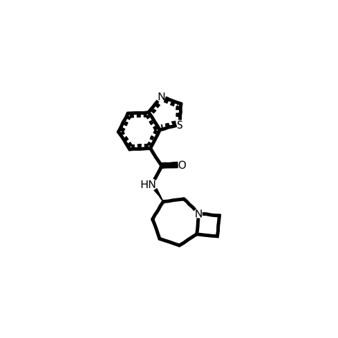 O=C(N[C@@H]1CCCC2CCN2C1)c1cccc2ncsc12